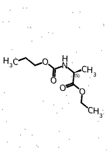 CCCOC(=O)N[C@@H](C)C(=O)OCC